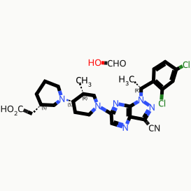 C[C@@H]1CN(c2cnc3c(C#N)nn([C@H](C)c4ccc(Cl)cc4Cl)c3n2)CC[C@@H]1N1CCC[C@@H](CC(=O)O)C1.O=CO